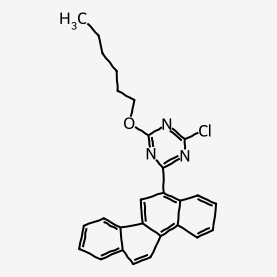 CCCCCCOc1nc(Cl)nc(-c2cc3c4ccccc4ccc3c3ccccc23)n1